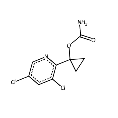 NC(=O)OC1(c2ncc(Cl)cc2Cl)CC1